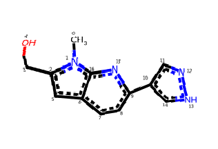 Cn1c(CO)cc2ccc(-c3cn[nH]c3)nc21